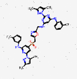 Cc1cc(C)n(-c2cc(S(=O)(=O)Cc3cnc(CNc4cc(Nc5cccc(C(F)(F)F)c5)nc(-n5nc(C)cc5C)n4)o3)cc(Nc3cccc(C(F)(F)F)c3)n2)n1